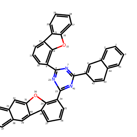 c1ccc2cc(-c3nc(-c4cccc5c4oc4ccccc45)nc(-c4cccc5c4oc4cc6ccccc6cc45)n3)ccc2c1